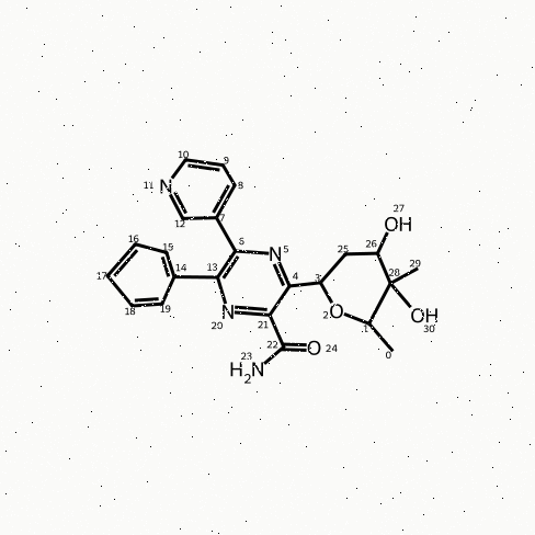 CC1OC(c2nc(-c3cccnc3)c(-c3ccccc3)nc2C(N)=O)CC(O)C1(C)O